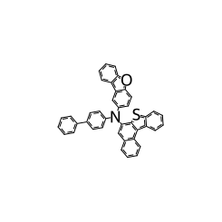 c1ccc(-c2ccc(N(c3ccc4oc5ccccc5c4c3)c3cc4ccccc4c4c3sc3ccccc34)cc2)cc1